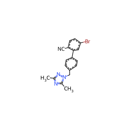 Cc1nc(C)n(Cc2ccc(-c3cc(Br)ccc3C#N)cc2)n1